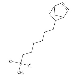 C[Si](Cl)(Cl)CCCCCCC1CC2C=CC1C2